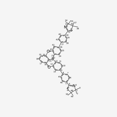 CC1(C)N=C(c2ccc(-c3ccc4c(c3)Oc3cccc5c3B4c3ccc(-c4ccc(C6=NC(C)(C)C(C)(C)S6)cc4)cc3O5)cc2)SC1(C)C